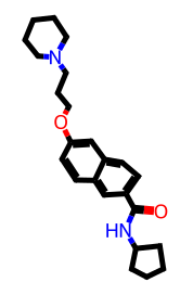 O=C(NC1CCCC1)c1ccc2cc(OCCCN3CCCCC3)ccc2c1